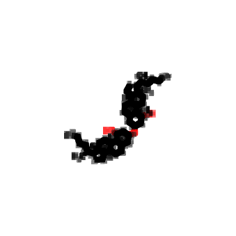 CC(C)CCC[C@@H](C)[C@H]1CC[C@H]2[C@@H]3CC=C4CC(OC5CC6=CC[C@H]7[C@@H]8CC[C@H]([C@H](C)CCCC(C)C)[C@@]8(C)CC[C@@H]7[C@@]6(C)C(O)C5)CC(O)[C@]4(C)[C@H]3CC[C@]12C